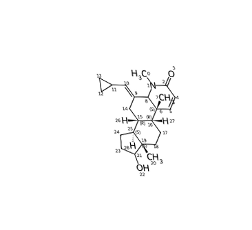 CN1C(=O)C=C[C@@]2(C)C1C(=CC1CC1)C[C@@H]1[C@H]2CC[C@]2(C)C(O)CC[C@@H]12